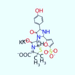 CC1(C)S[C@@H]2[C@H](N3C(=O)C(c4ccc(O)cc4)NC3c3ccc(S(=O)(=O)[O-])o3)C(=O)N2[C@H]1C(=O)[O-].[K+].[K+]